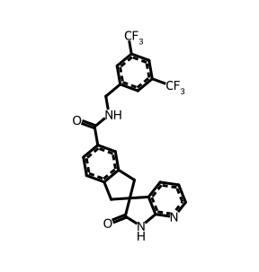 O=C(NCc1cc(C(F)(F)F)cc(C(F)(F)F)c1)c1ccc2c(c1)CC1(C2)C(=O)Nc2ncccc21